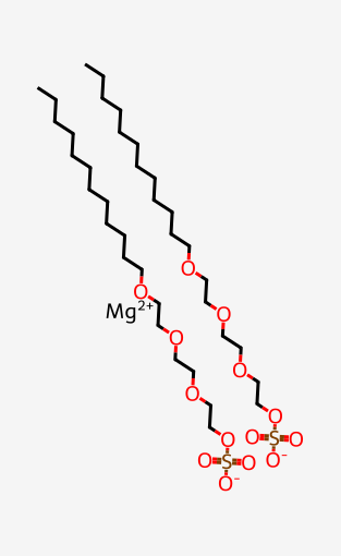 CCCCCCCCCCCCOCCOCCOCCOS(=O)(=O)[O-].CCCCCCCCCCCCOCCOCCOCCOS(=O)(=O)[O-].[Mg+2]